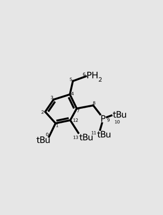 CC(C)(C)c1ccc(CP)c(CP(C(C)(C)C)C(C)(C)C)c1C(C)(C)C